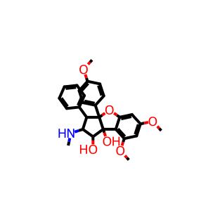 CNC1C(O)C2(O)c3c(OC)cc(OC)cc3OC2(c2ccc(OC)cc2)C1c1ccccc1